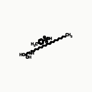 CCCCCCCCC=CCCCCCCCCCNCC(O)O.Cc1ccc(S(=O)(=O)O)cc1